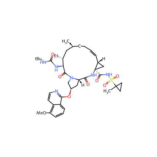 CC[C@@H]1C[C@@H](C)CCC=C[C@@H]2C[C@@]2(C(=O)NS(=O)(=O)C2(C)CC2)NC(=O)[C@@H]2C[C@@H](Oc3nccc4c(OC)cccc34)CN2C(=O)[C@H]1NC(=O)NC(C)(C)C